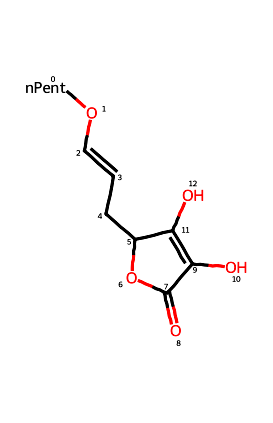 CCCCCOC=CCC1OC(=O)C(O)=C1O